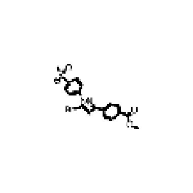 COC(=O)c1ccc(-c2cc(Br)n(-c3ccc(S(C)(=O)=O)cc3)n2)cc1